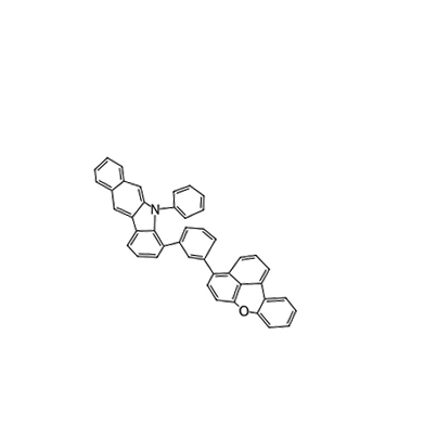 c1ccc(-n2c3cc4ccccc4cc3c3cccc(-c4cccc(-c5ccc6c7c(cccc57)-c5ccccc5O6)c4)c32)cc1